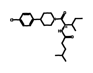 CCC(C)[C@@H](NC(=O)CCC(C)C)C(=O)N1CCC(c2ccc(Cl)cc2)CC1